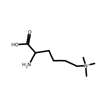 C[N+](C)(C)CCCCC(N)C(=O)O